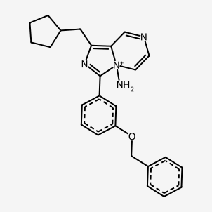 N[N+]12C=CN=CC1=C(CC1CCCC1)N=C2c1cccc(OCc2ccccc2)c1